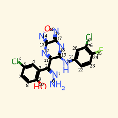 NN=C(c1cc(Cl)ccc1O)c1nc2nonc2nc1Nc1ccc(F)c(Cl)c1